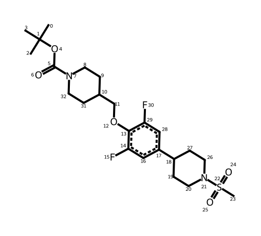 CC(C)(C)OC(=O)N1CCC(COc2c(F)cc(C3CCN(S(C)(=O)=O)CC3)cc2F)CC1